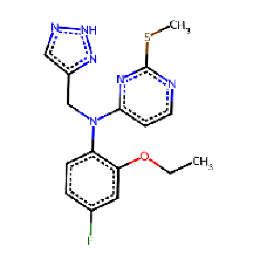 CCOc1cc(F)ccc1N(Cc1cn[nH]n1)c1ccnc(SC)n1